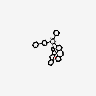 C1=Cc2ccc(-c3nc(-c4ccccc4)nc(-c4ccc(-c5ccccc5)cc4)n3)cc2C2(c3ccccc31)c1ccccc1-c1cc3ccccc3cc12